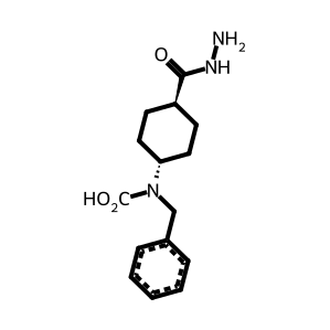 NNC(=O)[C@H]1CC[C@H](N(Cc2ccccc2)C(=O)O)CC1